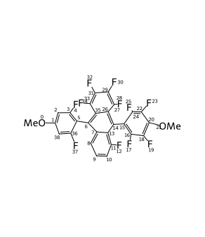 COc1cc(F)c(-c2c3cccc(F)c3c(-c3c(F)c(F)c(OC)c(F)c3F)c3c(F)c(F)c(F)c(F)c23)c(F)c1